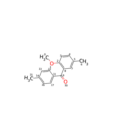 COc1ccc(C)cc1C(=O)c1ccc(C)cc1